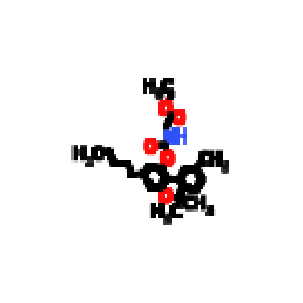 CCCCCc1cc(OC(=O)NCC(=O)OCC)c2c(c1)OC(C)(C)c1ccc(C)cc1-2